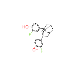 Oc1ccc(C23CC4CC(C2)CC(c2ccc(O)c(F)c2)(C4)C3)cc1F